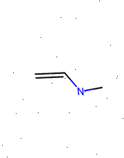 C=C[N]C